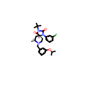 CC(C)Oc1cccc(CN2CC[C@@]3(C[C@@H]2C)C(=O)N(C(C)(C)C)C(=O)N3c2cccc(F)c2)c1